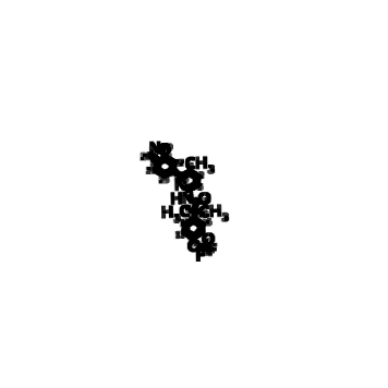 Cc1ccc(NC(=O)C(C)(C)c2ccc3c(c2)OC(F)(F)O3)nc1-c1ccc2cnoc2c1